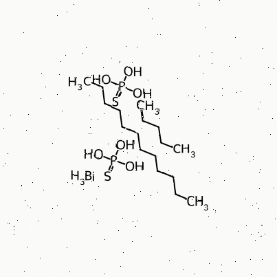 CCCCC.CCCCCCCCCCCC.OP(O)(O)=S.OP(O)(O)=S.[BiH3]